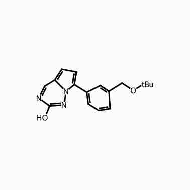 CC(C)(C)OCc1cccc(-c2ccc3cnc(O)nn23)c1